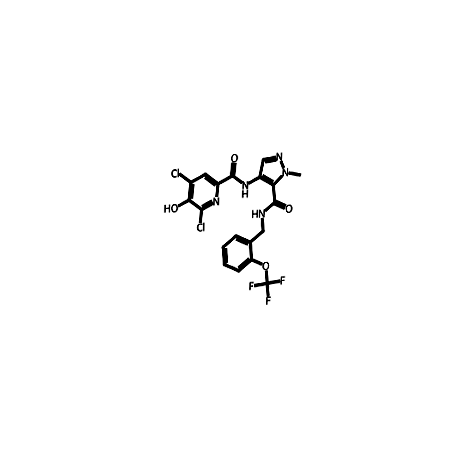 Cn1ncc(NC(=O)c2cc(Cl)c(O)c(Cl)n2)c1C(=O)NCc1ccccc1OC(F)(F)F